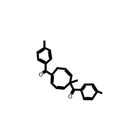 Cc1ccc(C(=O)/C2=C/C=C\C(C)(C(=O)c3ccc(C)cc3)/C=C\C2)cc1